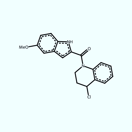 COc1ccc2[nH]c(C(=O)N3CCC(Cl)c4ccccc43)cc2c1